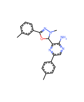 Cc1ccc(-c2cnc(N)c(C3OC(c4cccc(C)c4)=NN3C)n2)cc1